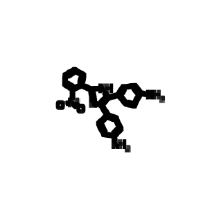 Nc1ccc(-c2nc(-c3ccccc3[N+](=O)[O-])[nH]c2-c2ccc(N)cc2)cc1